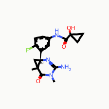 CN1C(=O)C2(C)C[C@]2(c2cc(NC(=O)C3(O)CC3)ccc2F)N=C1N